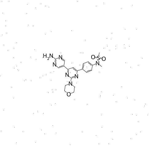 CN(c1ccc(-c2cc(-c3cnc(N)nc3)nc(N3CCOCC3)n2)cc1)S(C)(=O)=O